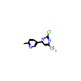 Cc1ccc(-c2cc(C(F)(F)F)nc(Cl)n2)cn1